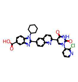 O=C(O)c1ccc2c(c1)nc(-c1ccc3nc(-c4cn(-c5cccnc5Cl)c(=O)[nH]c4=O)ccc3c1)n2C1CCCCC1